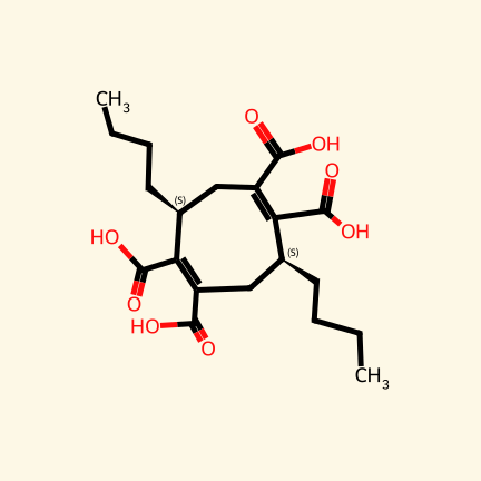 CCCC[C@H]1CC(C(=O)O)=C(C(=O)O)[C@@H](CCCC)CC(C(=O)O)=C1C(=O)O